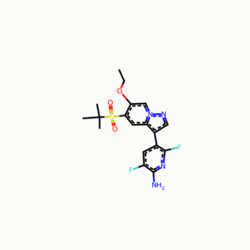 CCOc1cn2ncc(-c3cc(F)c(N)nc3F)c2cc1S(=O)(=O)C(C)(C)C